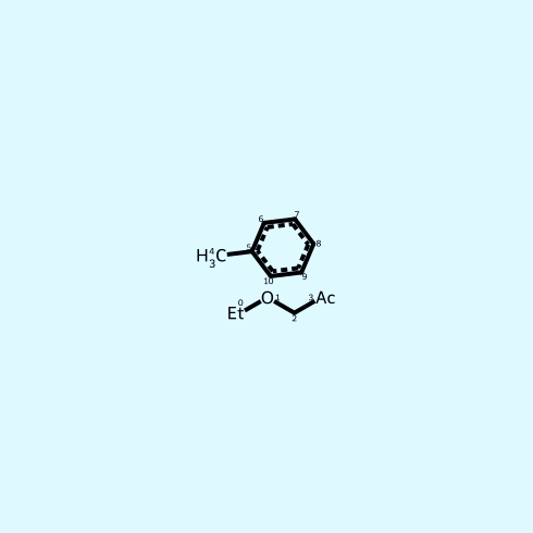 CCOCC(C)=O.Cc1ccccc1